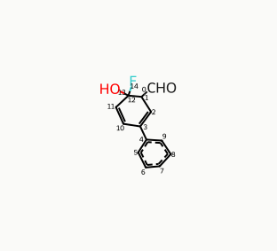 O=CC1C=C(c2ccccc2)C=CC1(O)F